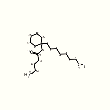 CCCCCCCCC1(CC(=O)CCCC)CCCCC1